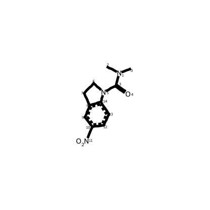 CN(C)C(=O)N1CCc2cc([N+](=O)[O-])ccc21